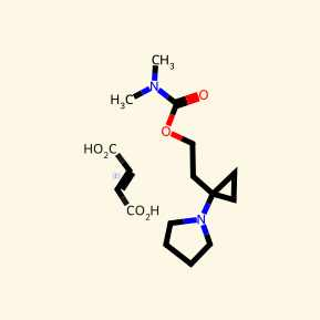 CN(C)C(=O)OCCC1(N2CCCC2)CC1.O=C(O)/C=C/C(=O)O